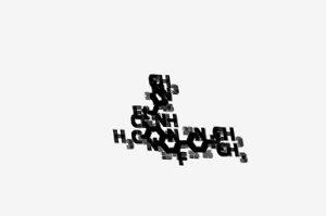 CCC(Nc1c(Cl)c(C)nc2cc(F)c(-c3ccc(P(C)C)nc3)nc12)c1cnn(C)c1